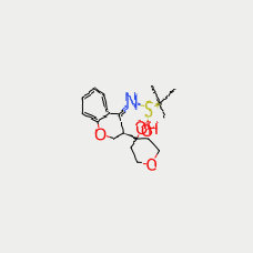 CC(C)(C)[S@@+]([O-])/N=C1/c2ccccc2OC[C@@H]1C1(O)CCOCC1